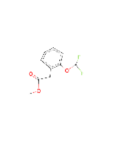 COC(=O)Cc1ccccc1OC(F)F